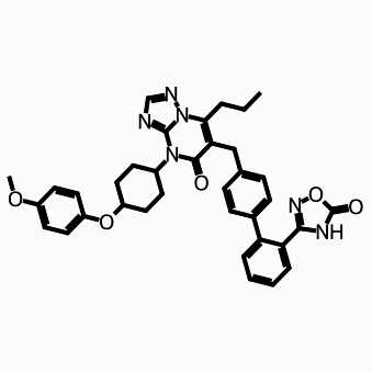 CCCc1c(Cc2ccc(-c3ccccc3-c3noc(=O)[nH]3)cc2)c(=O)n(C2CCC(Oc3ccc(OC)cc3)CC2)c2ncnn12